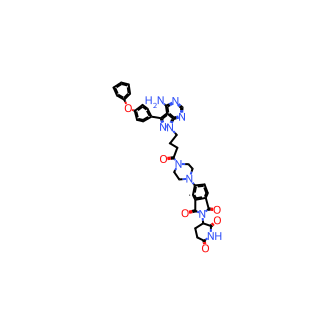 Nc1ncnc2c1c(-c1ccc(Oc3ccccc3)cc1)nn2CCCC(=O)N1CCN(c2[c]c3c(cc2)C(=O)N(C2CCC(=O)NC2=O)C3=O)CC1